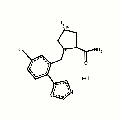 Cl.NC(=O)C1C[C@@H](F)CN1Cc1cc(Cl)ccc1-n1cncn1